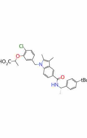 Cc1c(C)n(Cc2ccc(Cl)c(OC(C)C(=O)O)c2)c2ccc(C(=O)N[C@@H](C)c3ccc(C(C)(C)C)cc3)cc12